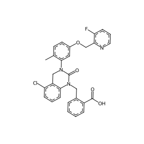 Cc1ccc(OCc2ncccc2F)cc1N1Cc2c(Cl)cccc2N(Cc2ccccc2C(=O)O)C1=O